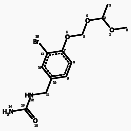 COC(C)OCOc1ccc(CNC(N)=O)cc1Br